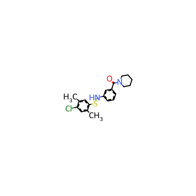 Cc1cc(SNc2cccc(C(=O)N3CCCCC3)c2)c(C)cc1Cl